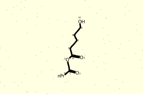 CCCC(=O)OC(=O)CCCCO